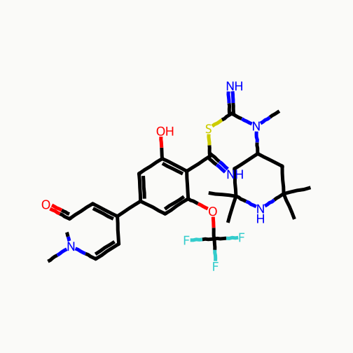 CN(C)/C=C\C(=C/C=O)c1cc(O)c(C(=N)SC(=N)N(C)C2CC(C)(C)NC(C)(C)C2)c(OC(F)(F)F)c1